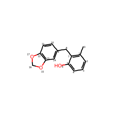 Cc1cccc(O)c1Cc1ccc2c(c1)OCO2